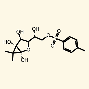 Cc1ccc(S(=O)(=O)OC[C@@H](O)[C@H]2O[C@@]3(O)C(C)(C)[C@@]3(O)[C@H]2O)cc1